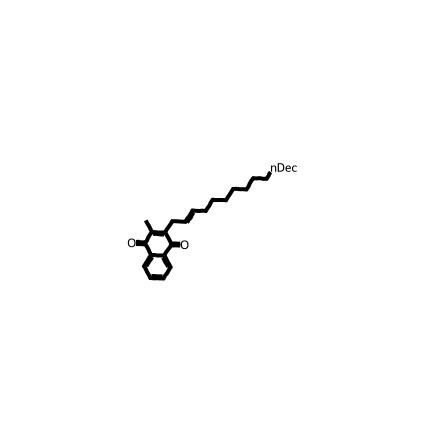 CCCCCCCCCCCCCCCCCC=CCC1=C(C)C(=O)c2ccccc2C1=O